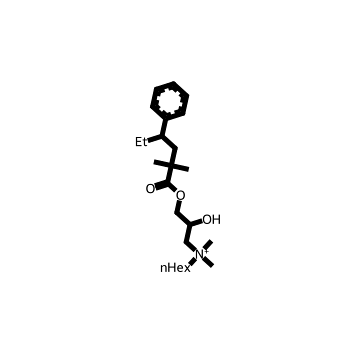 CCCCCC[N+](C)(C)CC(O)COC(=O)C(C)(C)CC(CC)c1ccccc1